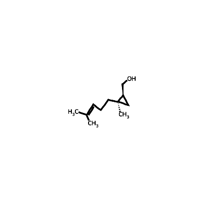 CC(C)=CCC[C@]1(C)C[C@@H]1CO